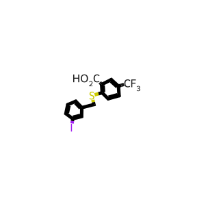 O=C(O)c1cc(C(F)(F)F)ccc1SCc1cccc(I)c1